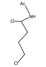 CC(=O)NC(Cl)CCCCl